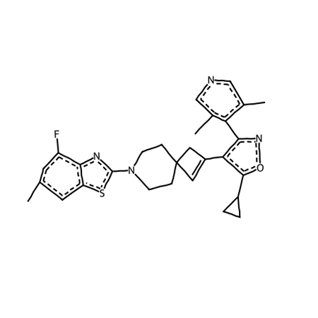 Cc1cc(F)c2nc(N3CCC4(C=C(c5c(-c6c(C)cncc6C)noc5C5CC5)C4)CC3)sc2c1